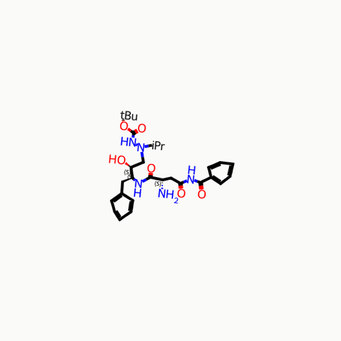 CC(C)N(C[C@H](O)[C@H](Cc1ccccc1)NC(=O)[C@@H](N)CC(=O)NC(=O)c1ccccc1)NC(=O)OC(C)(C)C